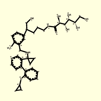 Cc1ccc(C(CO)CCCNC(=O)[C@@H](O)[C@@H](O)[C@H](O)[C@@H](O)CO)cc1CNC1(c2cnccc2-c2ccccc2OC2CC2)CC1